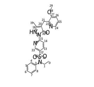 CCN(c1ccccc1)S(=O)(=O)c1ccc(-n2[nH]c(C)c(Cc3ncccc3OC)c2=O)nc1